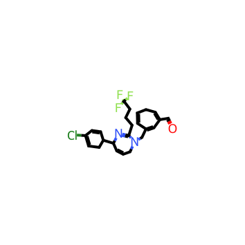 O=CC1=CCC=CC(CN2CC=CC(C3C=CC(Cl)=CC3)N=C2CCCC(F)(F)F)=C1